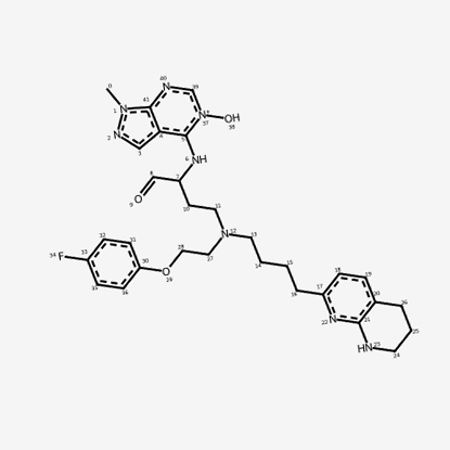 Cn1ncc2c(NC(C=O)CCN(CCCCc3ccc4c(n3)NCCC4)CCOc3ccc(F)cc3)[n+](O)cnc21